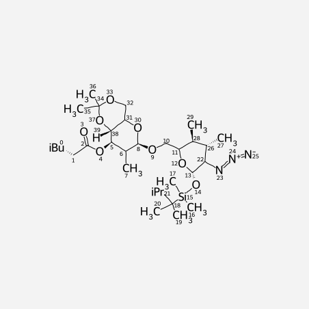 CC[C@@H](C)CC(=O)O[C@@H]1C(C)[C@H](OCC2O[C@@H](O[Si](C)(C)C(C)(C)C(C)C)C(N=[N+]=[N-])[C@@H](C)[C@@H]2C)OC2COC(C)(C)O[C@H]21